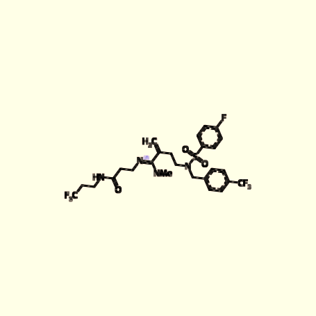 C=C(CCN(Cc1ccc(C(F)(F)F)cc1)S(=O)(=O)c1ccc(F)cc1)/C(=N/CCC(=O)NCCC(F)(F)F)NC